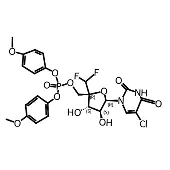 COc1ccc(OP(=O)(OC[C@@]2(C(F)F)O[C@@H](n3cc(Cl)c(=O)[nH]c3=O)[C@@H](O)[C@@H]2O)Oc2ccc(OC)cc2)cc1